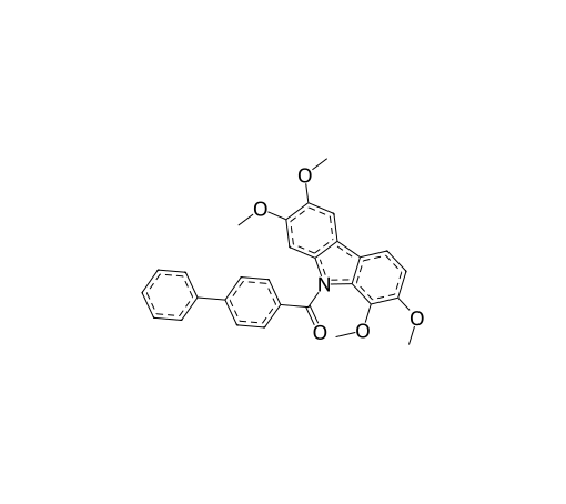 COc1cc2c3ccc(OC)c(OC)c3n(C(=O)c3ccc(-c4ccccc4)cc3)c2cc1OC